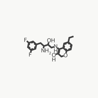 CCc1ccc2c(c1)C(NCC(O)C(N)Cc1cc(F)cc(F)c1)=C(O)CO2